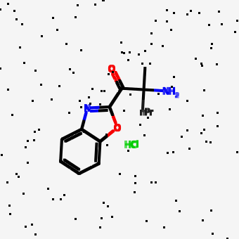 CCCC(C)(N)C(=O)c1nc2ccccc2o1.Cl